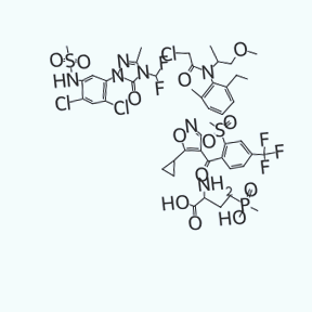 CCc1cccc(C)c1N(C(=O)CCl)C(C)COC.CP(=O)(O)CCC(N)C(=O)O.CS(=O)(=O)c1cc(C(F)(F)F)ccc1C(=O)c1cnoc1C1CC1.Cc1nn(-c2cc(NS(C)(=O)=O)c(Cl)cc2Cl)c(=O)n1C(F)F